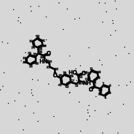 O=C(c1ccccc1)c1ccccc1N[C@@H](Cc1ccc(OCCCNC(=O)C(c2ccccc2)c2ccccc2)cc1)C(=O)O